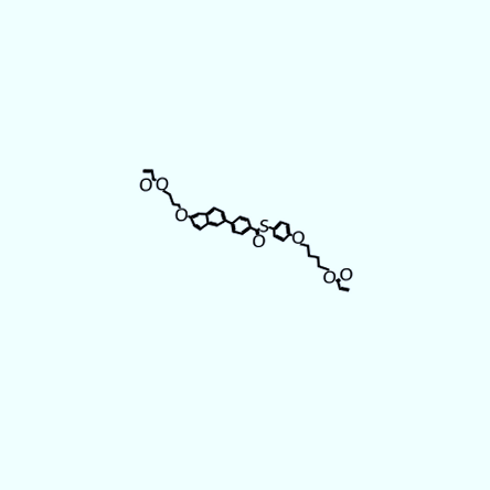 C=CC(=O)OCCCCCCOc1ccc(SC(=O)c2ccc(-c3ccc4cc(OCCCCOC(=O)C=C)ccc4c3)cc2)cc1